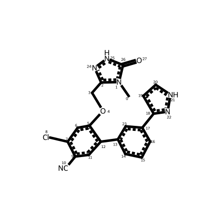 Cn1c(COc2cc(Cl)c(C#N)cc2-c2cccc(-c3cc[nH]n3)c2)n[nH]c1=O